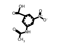 CC(=O)Nc1cc(C(=O)O)cc([N+](=O)[O-])c1